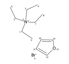 CC[N+](CC)(CC)CC.[Br-].c1ccoc1